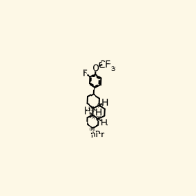 CCC[C@@H]1CC[C@H]2[C@H](CC[C@H]3CC(c4ccc(OC(F)(F)F)c(F)c4)CC[C@@H]32)C1